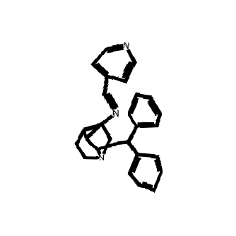 C(=NC1C2CCN(CC2)C1C(c1ccccc1)c1ccccc1)c1ccncc1